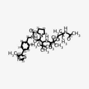 CC(=O)NC(C)(C)COC(C)(C)C(=O)NC(C(=O)N1CCC[C@H]1C(=O)NCc1ccc(-c2scnc2C)cc1)C(C)(C)C